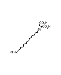 CCCCCCCCCCCCCCCCCCCCCCCCSSC(CC(=O)O)C(=O)O